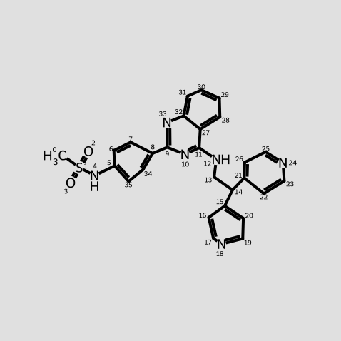 CS(=O)(=O)Nc1ccc(-c2nc(NCC(c3ccncc3)c3ccncc3)c3ccccc3n2)cc1